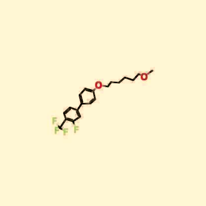 COCCCCCCOc1ccc(-c2ccc(C(F)(F)F)c(F)c2)cc1